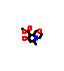 COC(=O)c1c2n(c(C)cc1=O)CCOC2